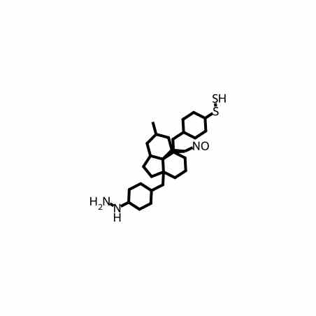 CC1CC2CCC3(CC4CCC(NN)CC4)CCCC4(CC5CCC(SS)CC5)C(N=O)C(C1)C234